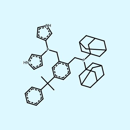 CC(C)(c1ccccc1)c1ccc(CP(C23CC4CC(CC(C4)C2)C3)C23CC4CC(CC(C4)C2)C3)c(CP(c2cc[nH]c2)c2cc[nH]c2)c1